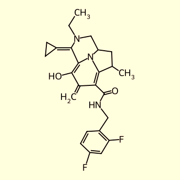 C=C1C(O)=C2C(=C3CC3)N(CC)CC3CC(C)C(=C1C(=O)NCc1ccc(F)cc1F)N23